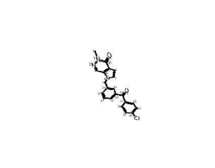 Cn1ncc2c(ccn2Cc2cccc(C(=O)c3ccc(Cl)cc3)c2)c1=O